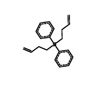 C=CCC[Si](CCC=C)(c1ccccc1)c1ccccc1